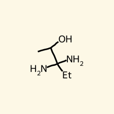 CCC(N)(N)C(C)O